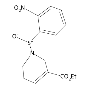 CCOC(=O)C1=CCCN([S+]([O-])c2ccccc2[N+](=O)[O-])C1